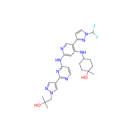 CC(C)(O)Cn1cc(-c2nccc(Nc3cc(NC4CCC(C)(O)CC4)c(-c4ccn(C(F)F)n4)cn3)n2)cn1